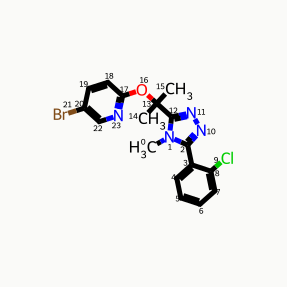 Cn1c(-c2ccccc2Cl)nnc1C(C)(C)Oc1ccc(Br)cn1